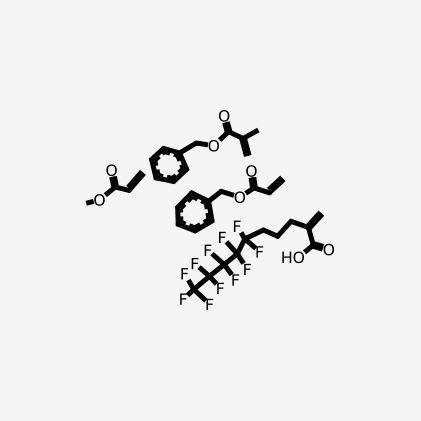 C=C(C)C(=O)OCc1ccccc1.C=C(CCCC(F)(F)C(F)(F)C(F)(F)C(F)(F)C(F)(F)F)C(=O)O.C=CC(=O)OC.C=CC(=O)OCc1ccccc1